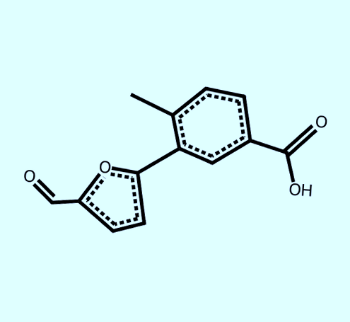 Cc1ccc(C(=O)O)cc1-c1ccc(C=O)o1